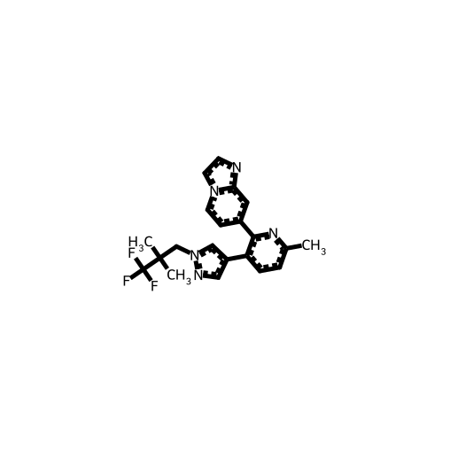 Cc1ccc(-c2cnn(CC(C)(C)C(F)(F)F)c2)c(-c2ccn3ccnc3c2)n1